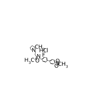 Cc1oc(-c2ccc(-c3ccc(S(C)(=O)=O)cc3)cc2F)nc1CCN1CCCC1C.Cl